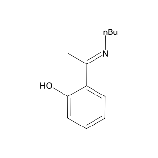 CCCC/N=C(\C)c1ccccc1O